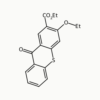 CCOC(=O)c1cc2c(=O)c3ccccc3sc2cc1OCC